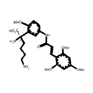 COc1cc(OC)c(C=CC(=O)Nc2ccc(OC)c([C@](N)(CCCCN)C(=O)O)c2)c(OC)c1